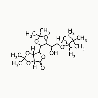 CC1(C)O[C@H]([C@H]2OC(=O)[C@@H]3OC(C)(C)O[C@H]23)[C@H]([C@H](O)CO[Si](C)(C)C(C)(C)C)O1